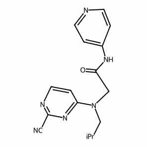 CC(C)CN(CC(=O)Nc1ccncc1)c1ccnc(C#N)n1